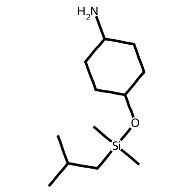 CC(C)C[Si](C)(C)OC1CCC(N)CC1